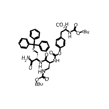 CC(C)(C)OC(=O)NC[C@H](NC(=O)Oc1ccc(C[C@H](NC(=O)OC(C)(C)C)C(=O)O)cc1)C(=O)N[C@@H](CSC(c1ccccc1)(c1ccccc1)c1ccccc1)C(N)=O